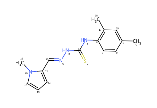 Cc1ccc(NC(=S)N/N=C/c2cccn2C)c(C)c1